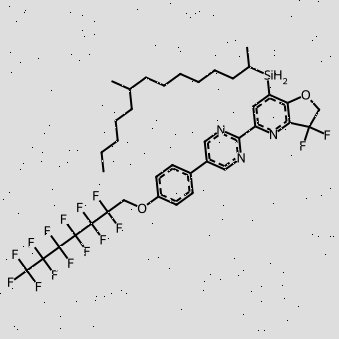 CCCCCC(C)CCCCCCC(C)[SiH2]c1cc(-c2ncc(-c3ccc(OCC(F)(F)C(F)(F)C(F)(F)C(F)(F)C(F)(F)C(F)(F)F)cc3)cn2)nc2c1OCC2(F)F